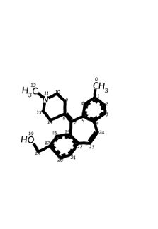 Cc1ccc2c(c1)C(=C1CCN(C)CC1)c1cc(CO)ccc1C=C2